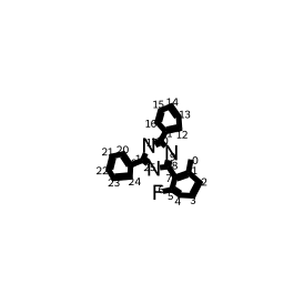 Cc1cccc(F)c1-c1nc(-c2ccccc2)nc(-c2ccccc2)n1